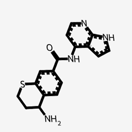 NC1CCSc2cc(C(=O)Nc3ccnc4[nH]ccc34)ccc21